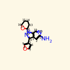 Nc1cc2c(-c3ccoc3)nn(C3CCCCO3)c2cn1